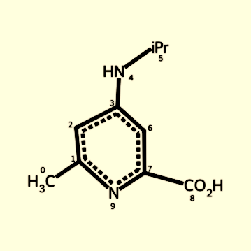 Cc1cc(NC(C)C)cc(C(=O)O)n1